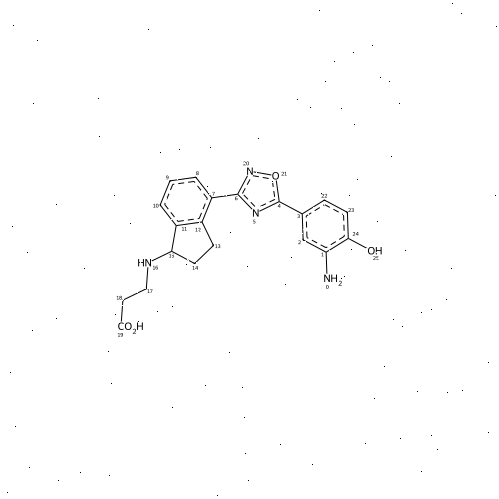 Nc1cc(-c2nc(-c3cccc4c3CCC4NCCC(=O)O)no2)ccc1O